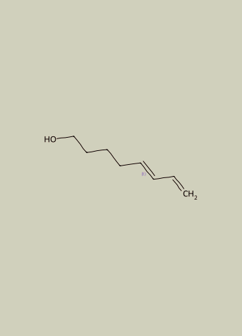 C=C/C=C/CCCCO